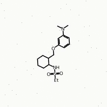 CCS(=O)(=O)NC1CCCCC1COc1cccc(N(C)C)c1